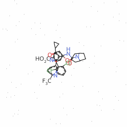 O=C(O)c1ccc(NC(=O)N2C3CCC2CC(OCc2c(-c4c(Cl)cccc4Cl)noc2C2CC2)C3)cc1-c1ccc(C(F)(F)F)nc1